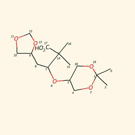 CC1(C)OCC(OC(CC2COCO2)C(C)(C)C(=O)O)CO1